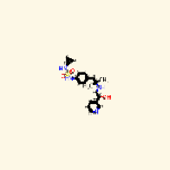 CC(C)(Cc1ccc(NS(=O)(=O)NC2CC2)cc1)NC[C@H](O)c1cccnc1